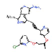 CNc1ncc(C#Cc2cc(OC(C)COc3cccc(Cl)n3)ccn2)c2cc(N)ncc12